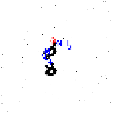 NC(=O)c1ccc2c(N3Cc4ccccc4C3)ncn2c1